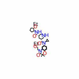 CCOCCN1C(=O)C(C)(C)Oc2ccc(N(C(=O)[C@H]3CNC[C@@H](C(=O)N[C@H]4CCC[C@@H]4OCC)C3)C3CC3)cc21